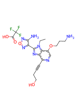 CCn1c(-c2nonc2N)nc2c(C#CCCO)ncc(OCCCN)c21.O=C(O)C(F)(F)F